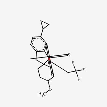 COC1CCC2(CC1)Cc1ccc(C3CC3)cc1C21NC(=S)N(CC(F)(F)F)C1=O